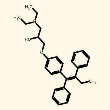 CC/C(=C(\c1ccccc1)c1ccc(OCC(O)CN(CC)CC)cc1)c1ccccc1